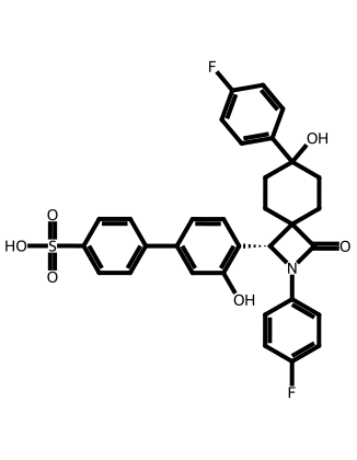 O=C1N(c2ccc(F)cc2)[C@H](c2ccc(-c3ccc(S(=O)(=O)O)cc3)cc2O)C12CCC(O)(c1ccc(F)cc1)CC2